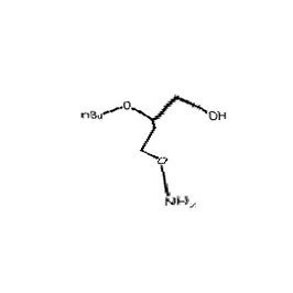 CCCCOC(CO)CON